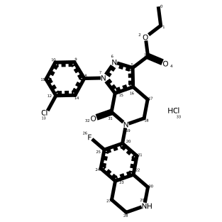 CCOC(=O)c1nn(-c2cccc(Cl)c2)c2c1CCN(c1cc3c(cc1F)CCNC3)C2=O.Cl